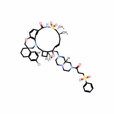 CO[C@@]1(CN2CCN3CCN(C(=O)CCS(=O)(=O)c4ccccc4)C[C@H]3C2)/C=C/C[C@H](C)[C@@H](C)S(=O)(=O)NC(=O)c2ccc3c(c2)N(C[C@@H]2CC[C@H]21)C[C@@]1(CCCc2cc(Cl)ccc21)CO3